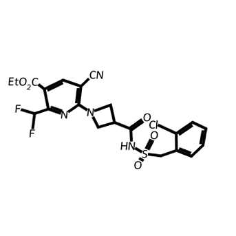 CCOC(=O)c1cc(C#N)c(N2CC(C(=O)NS(=O)(=O)Cc3ccccc3Cl)C2)nc1C(F)F